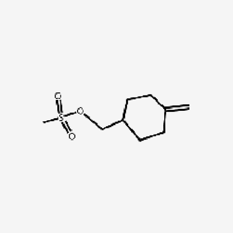 C=C1CCC(COS(C)(=O)=O)CC1